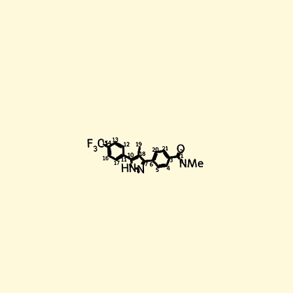 CNC(=O)c1ccc(-c2n[nH]c(-c3ccc(C(F)(F)F)cc3)c2C)cc1